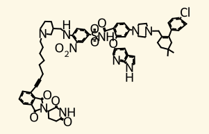 CC1(C)CCC(CN2CCN(c3ccc(C(=O)NS(=O)(=O)c4ccc(NCC5CCCN(CCCCCCC#Cc6cccc7c6C(=O)N(C6CCC(=O)NC6=O)C7=O)C5)c([N+](=O)[O-])c4)c(Oc4cnc5[nH]ccc5c4)c3)CC2)=C(c2ccc(Cl)cc2)C1